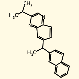 CC(C)c1cnc2ccc(C(C)c3ccc4ccccc4c3)cc2n1